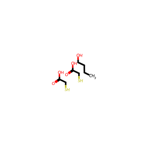 CCCCO.O=C(O)CS.O=C(O)CS